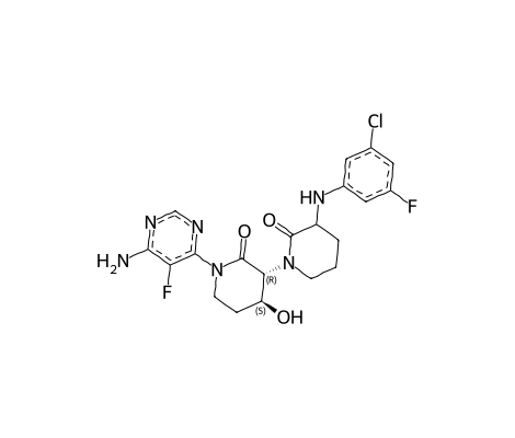 Nc1ncnc(N2CC[C@H](O)[C@@H](N3CCCC(Nc4cc(F)cc(Cl)c4)C3=O)C2=O)c1F